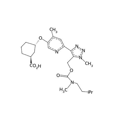 Cc1cc(-c2nnn(C)c2COC(=O)N(C)CCC(C)C)ncc1O[C@H]1CCC[C@H](C(=O)O)C1